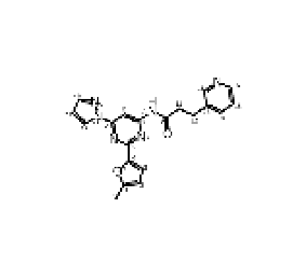 Cc1ccc(-c2nc(NC(=O)CCc3cccnc3)cc(-n3cccn3)n2)o1